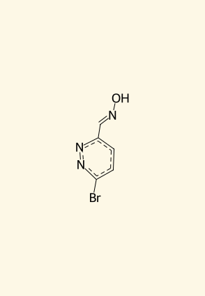 O/N=C/c1ccc(Br)nn1